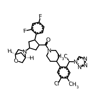 Cc1cc([C@@H](C)n2cnnn2)c(C2CCN(C(=O)C3CC(N4C[C@H]5C[C@@H]4CO5)CC3c3ccc(F)cc3F)CC2)cc1Cl